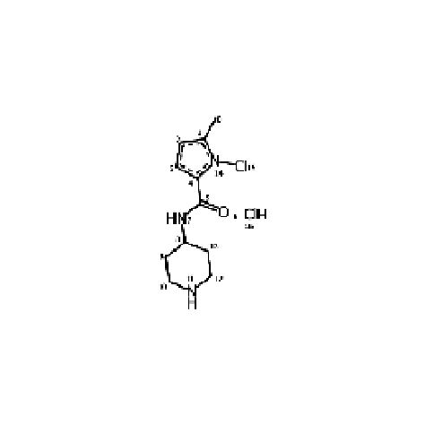 Cc1ccc(C(=O)NC2CCNCC2)n1Cl.Cl